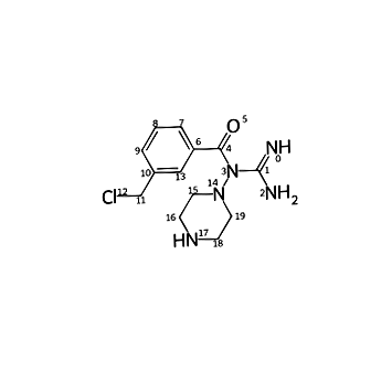 N=C(N)N(C(=O)c1cccc(CCl)c1)N1CCNCC1